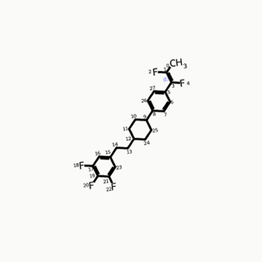 C/C(F)=C(\F)c1ccc(C2CCC(CCc3cc(F)c(F)c(F)c3)CC2)cc1